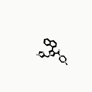 CN1CCN(C(=O)c2cn(Cc3c[nH]cn3)cc2-c2cccc3ccccc23)CC1